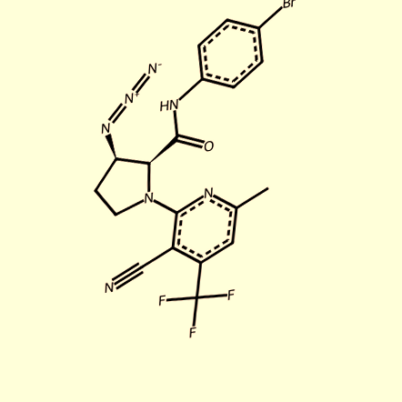 Cc1cc(C(F)(F)F)c(C#N)c(N2CC[C@@H](N=[N+]=[N-])[C@H]2C(=O)Nc2ccc(Br)cc2)n1